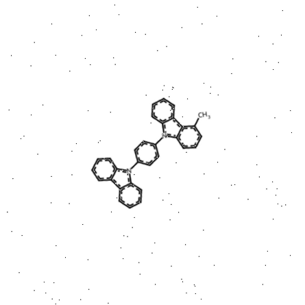 Cc1cccc2c1c1ccccc1n2-c1ccc(-n2c3ccccc3c3ccccc32)cc1